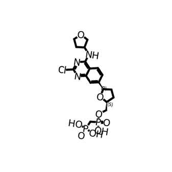 O=P(O)(O)CP(=O)(O)OC[C@@H]1CC[C@H](c2ccc3c(NC4CCOC4)nc(Cl)nc3c2)O1